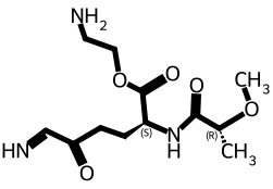 CO[C@H](C)C(=O)N[C@@H](CCC(=O)C=N)C(=O)OCCN